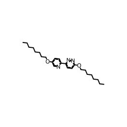 CCCCCCCCOc1ccc(-c2ccc(OCCCCCCCC)nn2)nc1